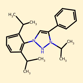 CC(C)c1cccc(C(C)C)c1N1C=C(c2ccccc2)N(C(C)C)N1